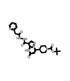 CC(C)(C)OC(=O)N1CCC(c2cc(=O)[nH]c3c(C(=O)NNC(=O)Cc4ccccn4)cnn23)CC1